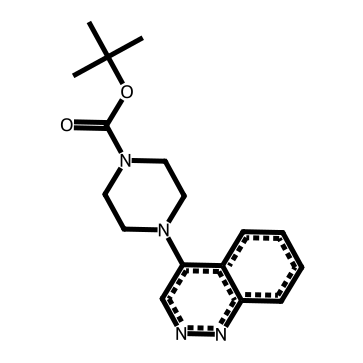 CC(C)(C)OC(=O)N1CCN(c2cnnc3ccccc23)CC1